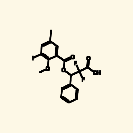 COc1c(I)cc(I)cc1C(=O)OC(c1ccccc1)C(F)(F)C(=O)O